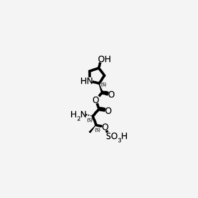 C[C@H](OS(=O)(=O)O)[C@H](N)C(=O)OC(=O)[C@@H]1CC(O)CN1